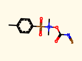 Cc1ccc(S(=O)(=O)[N+](C)(C)OC(=O)N=S)cc1